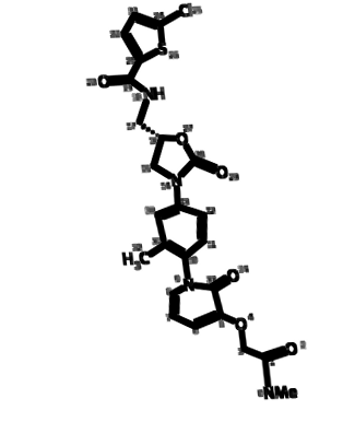 CNC(=O)COc1cccn(-c2ccc(N3C[C@H](CNC(=O)c4ccc(Cl)s4)OC3=O)cc2C)c1=O